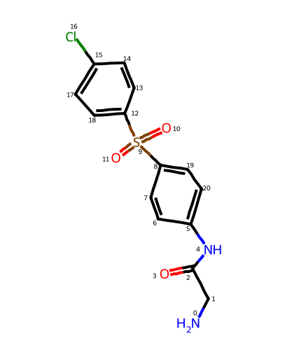 NCC(=O)Nc1ccc(S(=O)(=O)c2ccc(Cl)cc2)cc1